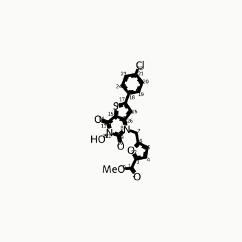 COC(=O)c1ccc(Cn2c(=O)n(O)c(=O)c3sc(-c4ccc(Cl)cc4)cc32)o1